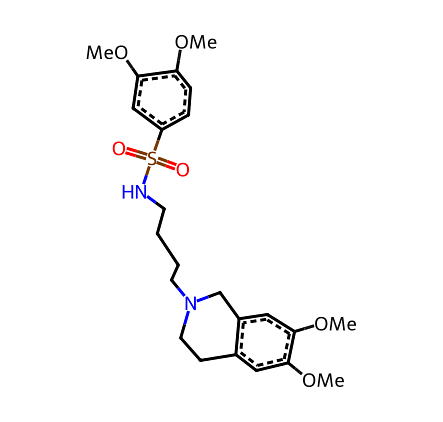 COc1ccc(S(=O)(=O)NCCCCN2CCc3cc(OC)c(OC)cc3C2)cc1OC